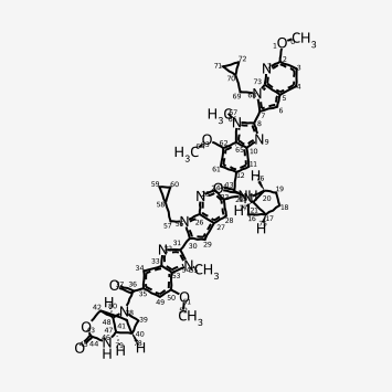 COc1ccc2cc(-c3nc4cc(C(=O)N5C[C@H]6CC[C@@H]5[C@@H]6Nc5cnc6c(c5)cc(-c5nc7cc(C(=O)N8C[C@H]9CC%10OC(=O)N[C@H]9[C@@H]%108)cc(OC)c7n5C)n6CC5CC5)cc(OC)c4n3C)n(CC3CC3)c2n1